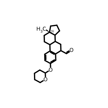 C[C@@]12CCCC1C1CC(C=O)c3cc(OC4CCCCO4)ccc3C1CC2